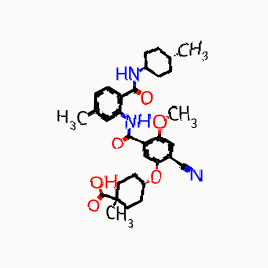 COc1cc(C#N)c(O[C@H]2CC[C@@](C)(C(=O)O)CC2)cc1C(=O)Nc1cc(C)ccc1C(=O)N[C@H]1CC[C@H](C)CC1